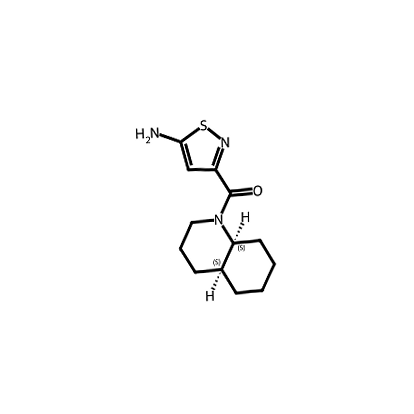 Nc1cc(C(=O)N2CCC[C@@H]3CCCC[C@@H]32)ns1